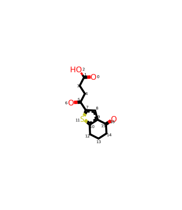 O=C(O)CCC(=O)c1cc2c(s1)CCCC2=O